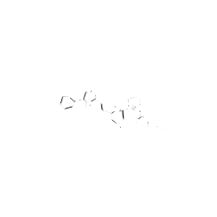 Cn1cc(-c2ccccc2)nc1/C=C/c1cncc(N2CCCN2C(=O)OC(C)(C)C)n1